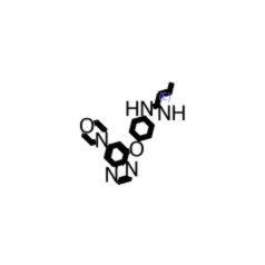 C/C=C/C(=N)N[C@H]1CC[C@@H](Oc2cc(N3CCOCC3)cc3nccnc23)CC1